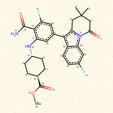 CC1(C)CC(=O)n2c(c(-c3cc(F)c(C(N)=O)c(N[C@H]4CC[C@H](C(=O)OC(C)(C)C)CC4)c3)c3ccc(F)cc32)C1